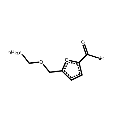 CCCCCCCCOCc1ccc(C(=O)C(C)C)o1